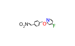 O=[N+]([O-])C=Cc1ccc(COc2cc(F)ccn2)cc1